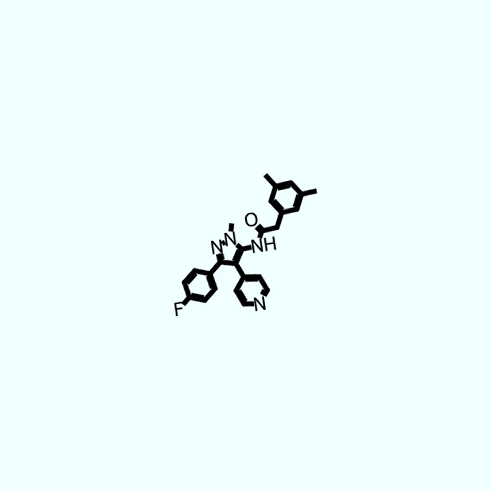 Cc1cc(C)cc(CC(=O)Nc2c(-c3ccncc3)c(-c3ccc(F)cc3)nn2C)c1